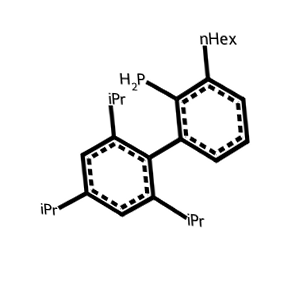 CCCCCCc1cccc(-c2c(C(C)C)cc(C(C)C)cc2C(C)C)c1P